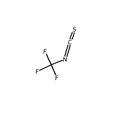 FC(F)(F)N=C=S